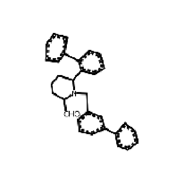 O=CC1CCCC(c2ccccc2-c2ccccc2)N1Cc1cccc(-c2ccccc2)c1